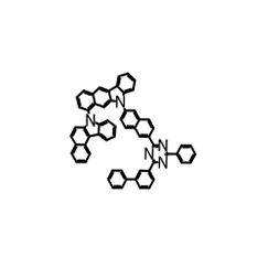 c1ccc(-c2cccc(-c3nc(-c4ccccc4)nc(-c4ccc5cc(-n6c7ccccc7c7cc8cccc(-n9c%10ccccc%10c%10c%11ccccc%11ccc%109)c8cc76)ccc5c4)n3)c2)cc1